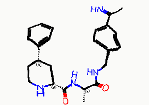 CC(=N)c1ccc(CNC(=O)[C@H](C)NC(=O)[C@H]2C[C@@H](c3ccccc3)CCN2)cc1